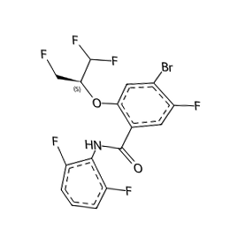 O=C(Nc1c(F)cccc1F)c1cc(F)c(Br)cc1O[C@@H](CF)C(F)F